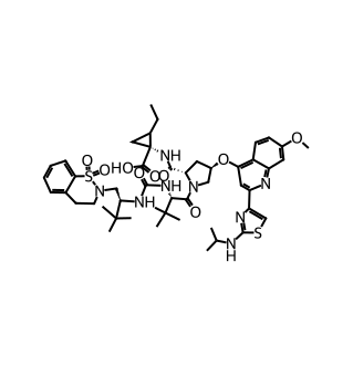 CCC1C[C@]1(NC(=O)[C@@H]1C[C@@H](Oc2cc(-c3csc(NC(C)C)n3)nc3cc(OC)ccc23)CN1C(=O)[C@@H](NC(=O)N[C@H](CN1CCc2ccccc2S1(=O)=O)C(C)(C)C)C(C)(C)C)C(=O)O